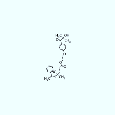 C=C(SC(C)(C#N)CCC(=O)OCCOc1ccc(C(=O)C(C)(C)O)cc1)c1ccccc1